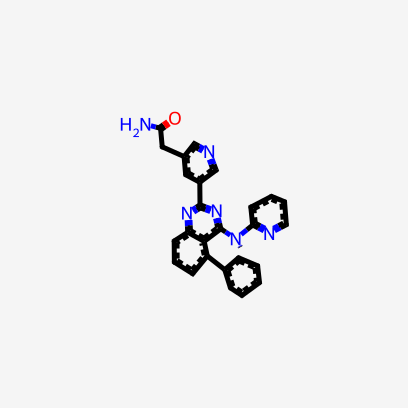 CN(c1ccccn1)c1nc(-c2cncc(CC(N)=O)c2)nc2cccc(-c3ccccc3)c12